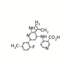 C=C(C)c1c(Nc2ccncc2C(=O)O)cc(-c2cc(C)ccc2F)nc1N